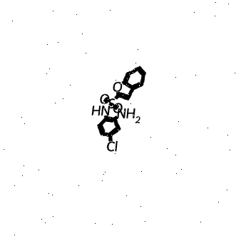 Nc1cc(Cl)ccc1NS(=O)(=O)c1cc2ccccc2o1